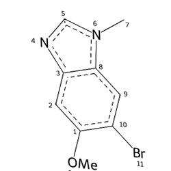 COc1cc2n[c]n(C)c2cc1Br